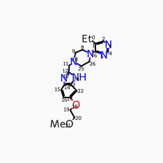 CCc1cncnc1N1CCN(Cc2nc3ccc(OCCOC)cc3[nH]2)CC1